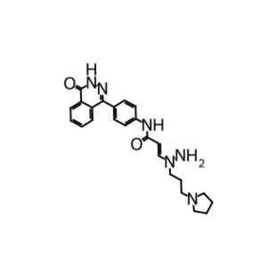 NN(/C=C/C(=O)Nc1ccc(-c2n[nH]c(=O)c3ccccc23)cc1)CCCN1CCCC1